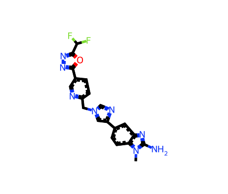 Cn1c(N)nc2cc(-c3cn(Cc4ccc(-c5nnc(C(F)F)o5)cn4)cn3)ccc21